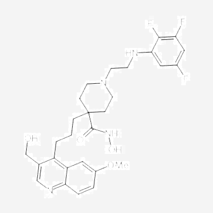 COc1ccc2ncc(CO)c(CCCC3(C(=O)NO)CCN(CCNc4cc(F)cc(F)c4F)CC3)c2c1